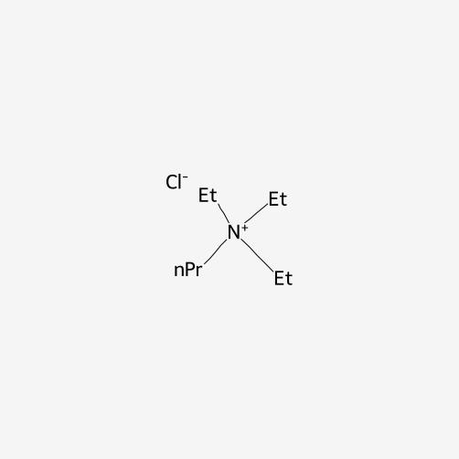 CCC[N+](CC)(CC)CC.[Cl-]